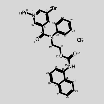 CCC[n+]1cc(Br)cc(C(=O)N(CCOC(=O)Nc2cccc3ccccc23)c2ccccc2)c1.[Cl-]